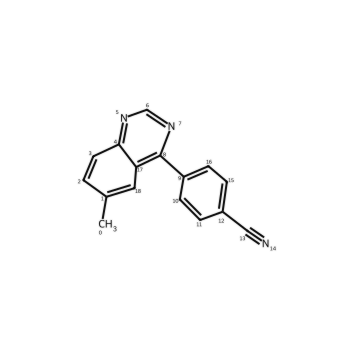 Cc1ccc2ncnc(-c3ccc(C#N)cc3)c2c1